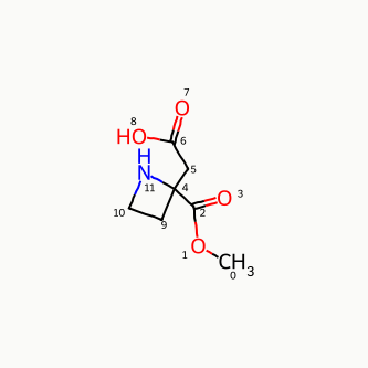 COC(=O)C1(CC(=O)O)CCN1